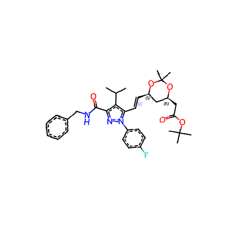 CC(C)c1c(C(=O)NCc2ccccc2)nn(-c2ccc(F)cc2)c1/C=C/[C@@H]1C[C@H](CC(=O)OC(C)(C)C)OC(C)(C)O1